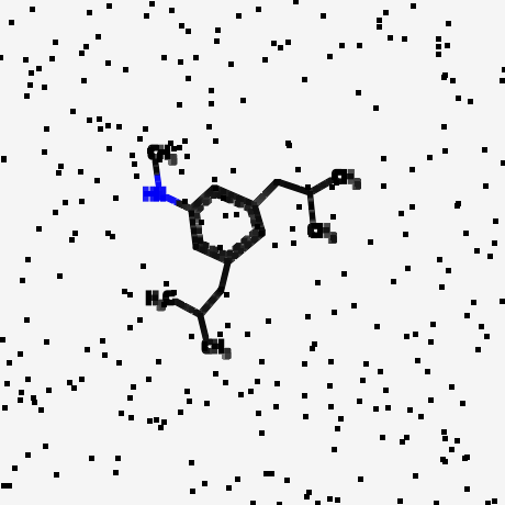 CNc1cc(CC(C)C)cc(CC(C)C)c1